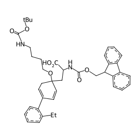 CCc1ccccc1C1=CCC(CC(NC(=O)OCC2c3ccccc3-c3ccccc32)C(=O)O)(OCCCCNC(=O)OC(C)(C)C)C=C1